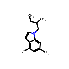 CCC(C)Cn1ccc2c(C)cc(C)cc21